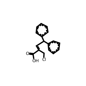 O=C(O)C(=CC(c1ccccc1)c1ccccc1)CCl